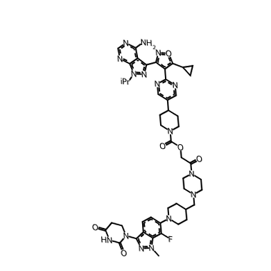 CC(C)n1nc(-c2noc(C3CC3)c2-c2ncc(C3CCN(C(=O)OCC(=O)N4CCN(CC5CCN(c6ccc7c(N8CCC(=O)NC8=O)nn(C)c7c6F)CC5)CC4)CC3)cn2)c2c(N)ncnc21